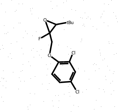 CC(C)(C)C1OC1(F)COc1ccc(Cl)cc1Cl